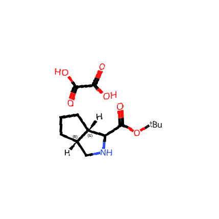 CC(C)(C)OC(=O)C1NC[C@@H]2CCC[C@H]12.O=C(O)C(=O)O